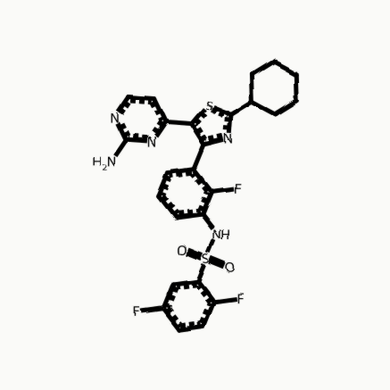 Nc1nccc(-c2sc(C3CCCCC3)nc2-c2cccc(NS(=O)(=O)c3cc(F)ccc3F)c2F)n1